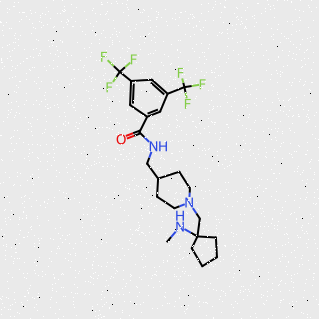 CNC1(CN2CCC(CNC(=O)c3cc(C(F)(F)F)cc(C(F)(F)F)c3)CC2)CCCC1